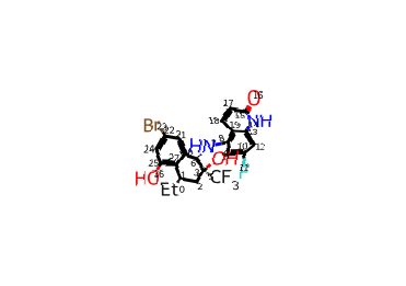 CC[C@@H]1C[C@@](O)(C(F)(F)F)[C@@H](Nc2cc(F)cc3[nH]c(=O)ccc23)c2cc(Br)cc(O)c21